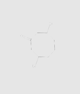 CCC1CCCC(Br)CC(=O)C1